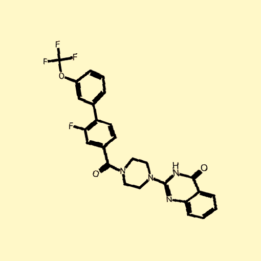 O=C(c1ccc(-c2cccc(OC(F)(F)F)c2)c(F)c1)N1CCN(c2nc3ccccc3c(=O)[nH]2)CC1